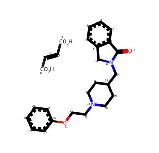 O=C(O)/C=C/C(=O)O.O=C1c2ccccc2CN1CC1CCN(CCOc2ccccc2)CC1